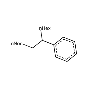 CCCCCCCCCCC(CCCCCC)c1ccccc1